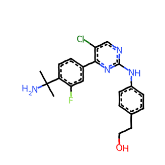 CC(C)(N)c1ccc(-c2nc(Nc3ccc(CCO)cc3)ncc2Cl)cc1F